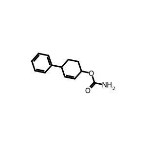 NC(=O)OC1C=CC(c2ccccc2)CC1